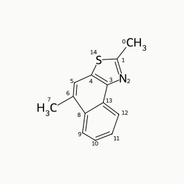 Cc1nc2c(cc(C)c3ccccc32)s1